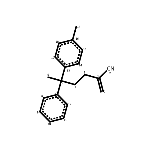 C=C(C#N)CCC(C)(c1ccccc1)c1ccc(C)cc1